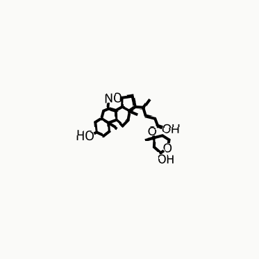 CC(CCC(O)OC1(C)CCOC(O)C1)C1CCC2C3C(N=O)CC4CC(O)CCC4(C)C3CCC12C